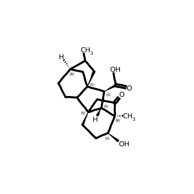 CC1C[C@]23C[C@H]1CCC2[C@]12CC[C@H](O)[C@](C)(C(=O)C1)[C@H]2[C@@H]3C(=O)O